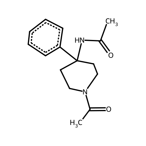 CC(=O)NC1(c2ccccc2)CCN(C(C)=O)CC1